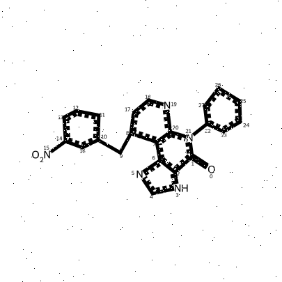 O=c1c2[nH]cnc2c2c(Cc3cccc([N+](=O)[O-])c3)ccnc2n1-c1ccccc1